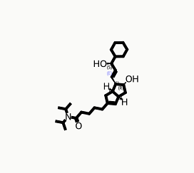 CC(C)N(C(=O)CCCCC1=C[C@H]2C[C@@H](O)[C@H](/C=C/[C@@H](O)C3CCCCC3)[C@H]2C1)C(C)C